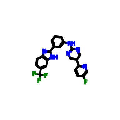 Fc1ccc(-c2cnc(Nc3cccc(-c4nc5ccc(C(F)(F)F)cc5[nH]4)c3)nc2)nc1